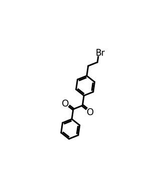 O=C(C(=O)c1ccc(CCBr)cc1)c1ccccc1